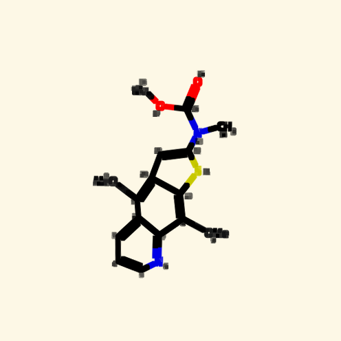 COc1c2cccnc2c(OC)c2sc(N(C)C(=O)OC(C)(C)C)cc12